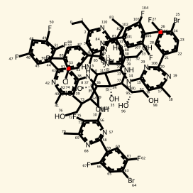 CCc1cc(NC([C@@H](O)CO)[C@@](O)(C(Nc2cc(C)nc(-c3ccc(Br)c(F)c3)n2)[C@@H](O)CO)[C@](O)(C(Nc2cc(C)nc(-c3cc(F)cc(F)c3F)n2)C(Nc2nc(-c3cc(F)c(Br)cc3F)nc(C)c2F)C(O)CO)C(Nc2cc(CC)nc(-c3ccc(F)c(Cl)c3)n2)[C@@H](O)CO)nc(-c2cc(F)c(F)c(F)c2)n1